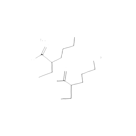 CCCCC(CC)C(=O)[O-].CCCCC(CC)C(=O)[O-].[K+].[Na+]